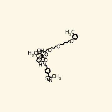 Cc1cccc(OCCCCCOCCCOCC(=O)NC(C(=O)N2CCCC2C(=O)NCc2ccc(-c3scnc3C)cc2)C(C)(C)C)c1